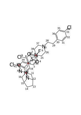 O=C(c1ccc(F)cc1Cl)N1CC2CCC(C1)N2c1cc(S(=O)(=O)N2CCN(CCc3ccc(Cl)cc3)CC2)cc(Cl)n1